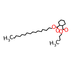 CCCCCCCCCCCCCCCCOC(=O)C1CCCCC1C(=O)OCCCC